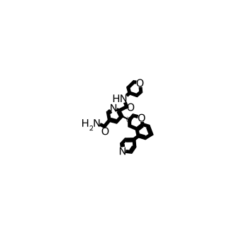 NC(=O)c1cnc(C(=O)NC2CCOCC2)c([C@H]2COc3cccc(-c4ccncc4)c3C2)c1